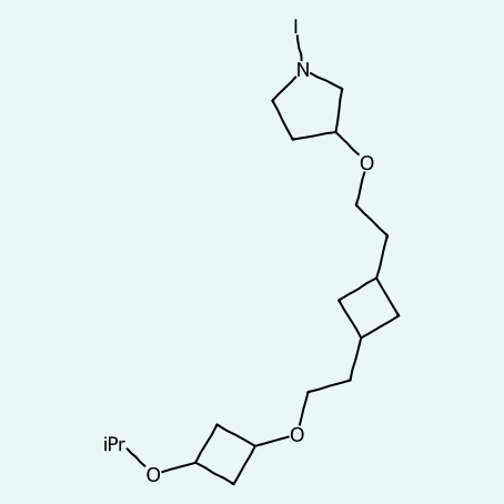 CC(C)OC1CC(OCCC2CC(CCOC3CCN(I)C3)C2)C1